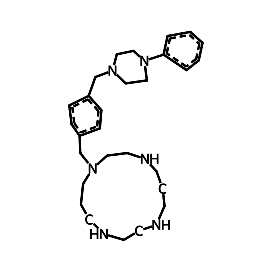 c1ccc(N2CCN(Cc3ccc(CN4CCCNCCNCCCNCC4)cc3)CC2)cc1